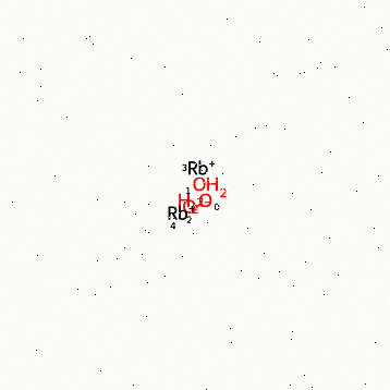 O.O.[O-2].[Rb+].[Rb+]